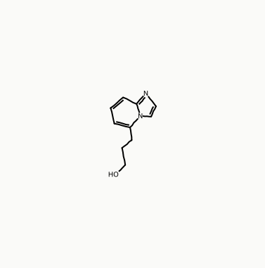 OCCCc1cccc2nccn12